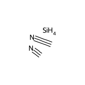 C#N.C#N.[SiH4]